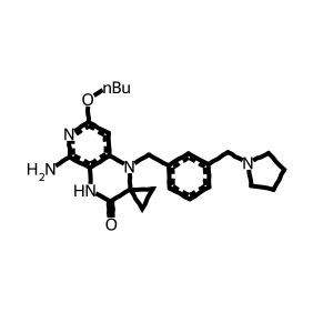 CCCCOc1cc2c(c(N)n1)NC(=O)C1(CC1)N2Cc1cccc(CN2CCCC2)c1